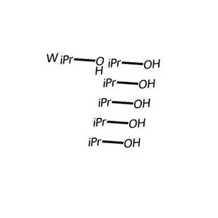 CC(C)O.CC(C)O.CC(C)O.CC(C)O.CC(C)O.CC(C)O.[W]